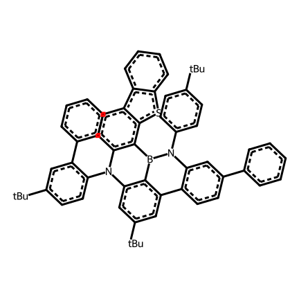 CC(C)(C)c1ccc(N2B3c4c(cc(C(C)(C)C)cc4N(c4ccc(C(C)(C)C)cc4-c4ccccc4)c4ccc5c(sc6ccccc65)c43)-c3ccc(-c4ccccc4)cc32)cc1